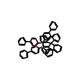 c1ccc(-c2ccc(N(c3ccccc3)c3cccc4c3C3(c5ccccc5-4)c4ccccc4-c4cccc(N(c5ccc(-c6ccccc6)cc5)c5ccc(-c6ccccc6)cc5)c43)cc2)cc1